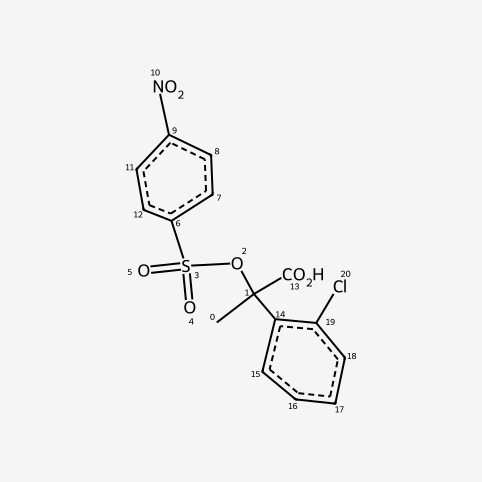 CC(OS(=O)(=O)c1ccc([N+](=O)[O-])cc1)(C(=O)O)c1ccccc1Cl